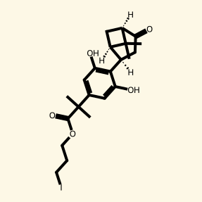 CC(C)(C(=O)OCCCI)c1cc(O)c([C@@H]2CC(=O)[C@@H]3C[C@H]2C3(C)C)c(O)c1